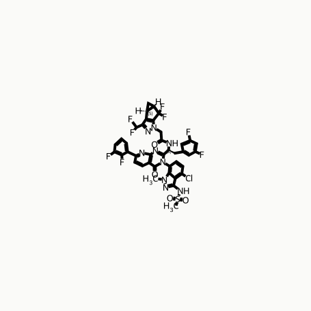 Cn1nc(NS(C)(=O)=O)c2c(Cl)ccc(-n3c([C@H](Cc4cc(F)cc(F)c4)NC(=O)Cn4nc(C(F)F)c5c4C(F)(F)[C@@H]4C[C@H]54)nc4nc(-c5cccc(F)c5F)ccc4c3=O)c21